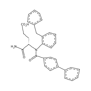 NC(=O)[C@H](CCC(=O)O)N(C(=O)c1ccc(-c2ccccc2)cc1)c1ccccc1Cc1ccccc1